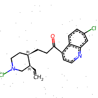 C=C[C@H]1CN(Cl)CC[C@H]1CCC(=O)c1ccnc2cc(Cl)ccc12